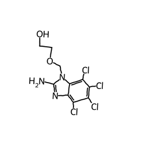 Nc1nc2c(Cl)c(Cl)c(Cl)c(Cl)c2n1COCCO